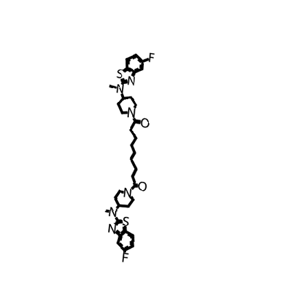 CN(c1nc2cc(F)ccc2s1)C1CCN(C(=O)CCCCCCCC(=O)N2CCC(N(C)c3nc4cc(F)ccc4s3)CC2)CC1